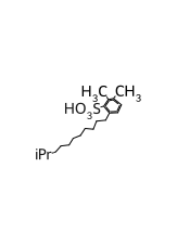 Cc1ccc(CCCCCCCCCC(C)C)c(S(=O)(=O)O)c1C